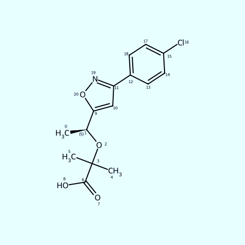 C[C@H](OC(C)(C)C(=O)O)c1cc(-c2ccc(Cl)cc2)no1